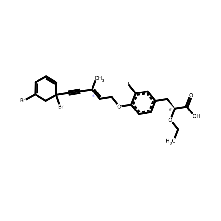 CCO[C@@H](Cc1ccc(OC/C=C(\C)C#CC2(Br)C=CC=C(Br)C2)c(I)c1)C(=O)O